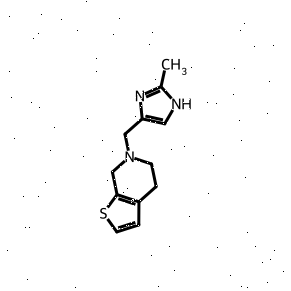 Cc1nc(CN2CCc3ccsc3C2)c[nH]1